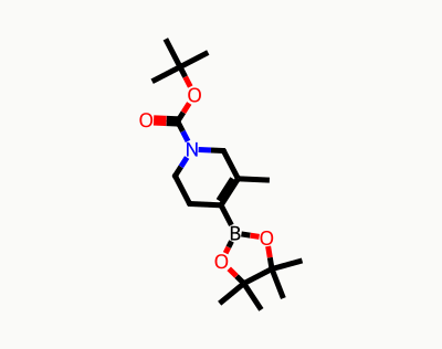 CC1=C(B2OC(C)(C)C(C)(C)O2)CCN(C(=O)OC(C)(C)C)C1